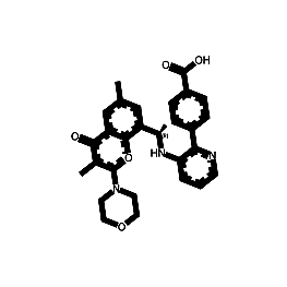 Cc1cc([C@@H](C)Nc2cccnc2-c2ccc(C(=O)O)cc2)c2oc(N3CCOCC3)c(C)c(=O)c2c1